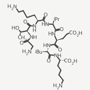 CC[C@H](C)[C@H](NC(=O)[C@H](CCC(=O)O)NC(=O)[C@@H](NC(=O)[C@H](CCCCN)NC(=O)[C@@H](NC(=O)CN)[C@@H](C)O)C(C)C)C(=O)N[C@@H](CCCCN)C(=O)O